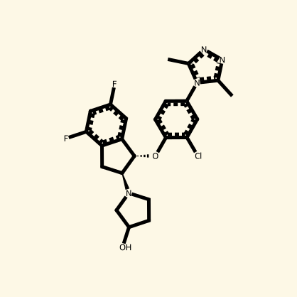 Cc1nnc(C)n1-c1ccc(O[C@H]2c3cc(F)cc(F)c3C[C@@H]2N2CCC(O)C2)c(Cl)c1